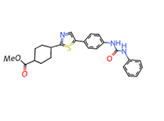 COC(=O)C1CCC(c2ncc(-c3ccc(NC(=O)Nc4ccccc4)cc3)s2)CC1